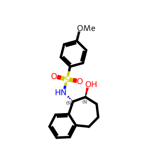 COc1ccc(S(=O)(=O)N[C@H]2c3ccccc3CCC[C@@H]2O)cc1